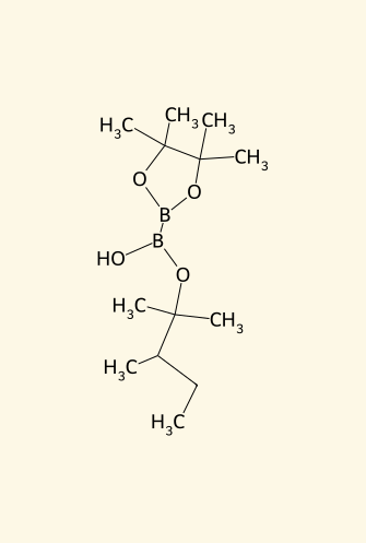 CCC(C)C(C)(C)OB(O)B1OC(C)(C)C(C)(C)O1